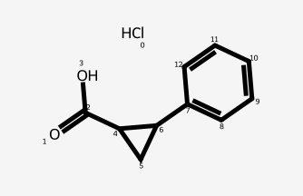 Cl.O=C(O)C1CC1c1ccccc1